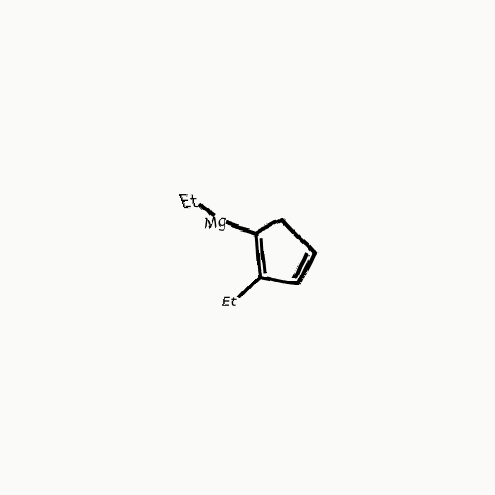 C[CH2][Mg][C]1=C(CC)C=CC1